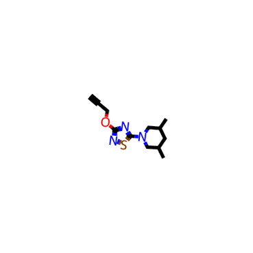 C#CCOc1nsc(N2CC(C)CC(C)C2)n1